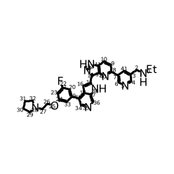 CCNCc1cncc(-c2ccc3[nH]nc(-c4cc5c(-c6cc(F)cc(OCCN7CCCC7)c6)cncc5[nH]4)c3n2)c1